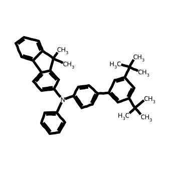 CC(C)(C)c1cc(-c2ccc(N(c3ccccc3)c3ccc4c(c3)C(C)(C)c3ccccc3-4)cc2)cc(C(C)(C)C)c1